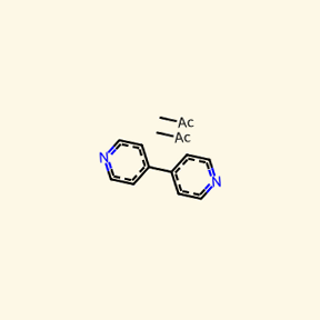 CC(C)=O.CC(C)=O.c1cc(-c2ccncc2)ccn1